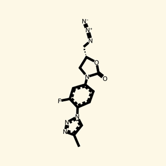 Cc1cn(-c2ccc(N3C[C@H](CN=[N+]=[N-])OC3=O)cc2F)nn1